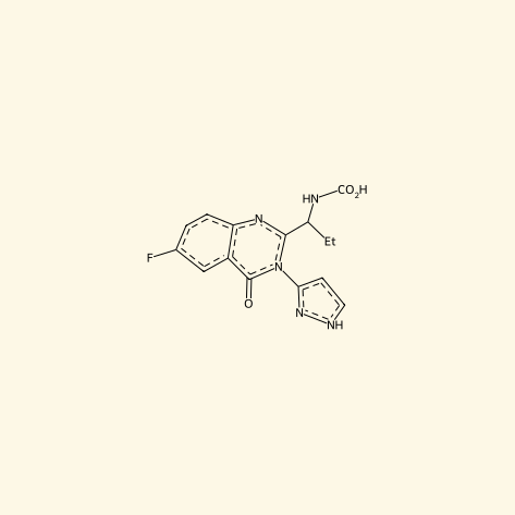 CCC(NC(=O)O)c1nc2ccc(F)cc2c(=O)n1-c1cc[nH]n1